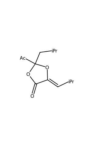 CC(=O)C1(CC(C)C)OC(=O)/C(=C/C(C)C)O1